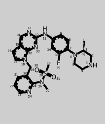 C[C@H]1CNCCN1c1ccc(Nc2ncc3ccn(Cc4cccnc4N(C)S(C)(=O)=O)c3n2)cc1F